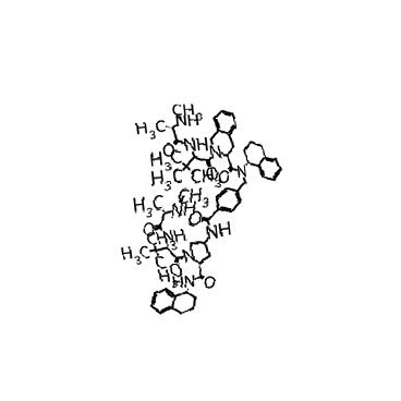 CN[C@@H](C)C(=O)NC(C(=O)N1Cc2ccccc2C[C@H]1C(=O)N(Cc1ccc(C(=O)NC2C[C@@H](C(=O)N[C@@H]3CCCc4ccccc43)N(C(=O)[C@@H](NC(=O)[C@H](C)NC)C(C)(C)C)C2)cc1)[C@@H]1CCCc2ccccc21)C(C)(C)C